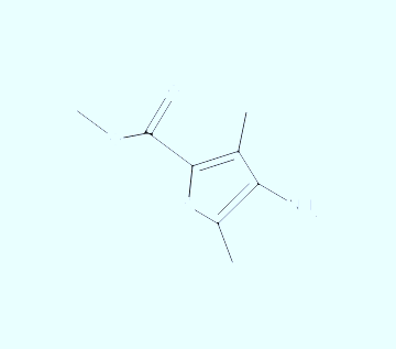 COC(=O)c1sc(C)c(N)c1C